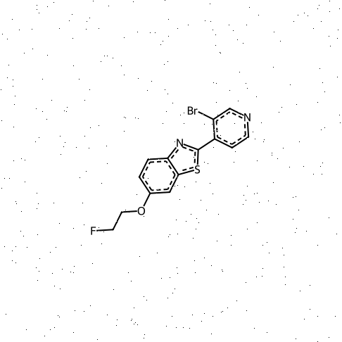 FCCOc1ccc2nc(-c3ccncc3Br)sc2c1